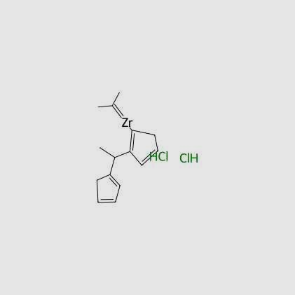 C[C](C)=[Zr][C]1=C(C(C)C2=CC=CC2)C=CC1.Cl.Cl